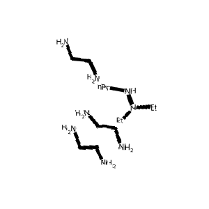 CCCNN(CC)CC.NCCN.NCCN.NCCN